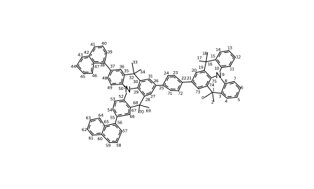 CC1(C)c2ccccc2N2c3ccccc3C(C)(C)c3cc(-c4ccc(-c5cc6c7c(c5)C(C)(C)c5cc(-c8cccc9ccccc89)ccc5N7c5ccc(-c7cccc8ccccc78)cc5C6(C)C)cc4)cc1c32